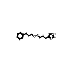 c1ccc(CCCOSCCCc2c[nH]cn2)cc1